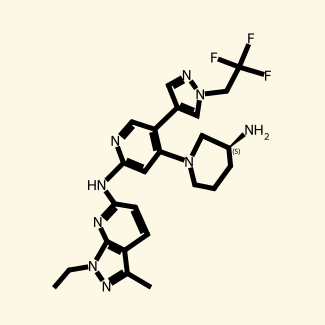 CCn1nc(C)c2ccc(Nc3cc(N4CCC[C@H](N)C4)c(-c4cnn(CC(F)(F)F)c4)cn3)nc21